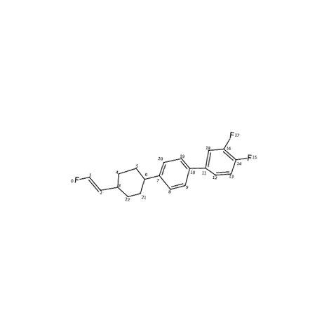 FC=CC1CCC(c2ccc(-c3ccc(F)c(F)c3)cc2)CC1